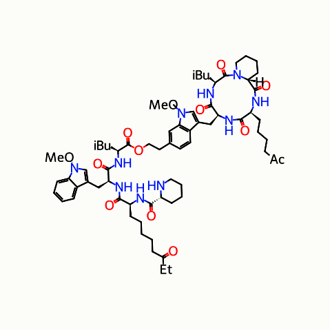 CCC(=O)CCCCC[C@H](NC(=O)[C@H]1CCCCN1)C(=O)N[C@@H](Cc1cn(OC)c2ccccc12)C(=O)N[C@H](C(=O)OCCc1ccc2c(C[C@@H]3NC(=O)[C@H](CCCCC(C)=O)NC(=O)[C@H]4CCCCN4C(=O)[C@H](C(C)CC)NC3=O)cn(OC)c2c1)C(C)CC